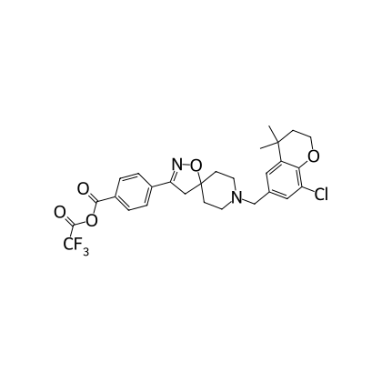 CC1(C)CCOc2c(Cl)cc(CN3CCC4(CC3)CC(c3ccc(C(=O)OC(=O)C(F)(F)F)cc3)=NO4)cc21